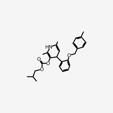 CC1=CC(c2ccccc2OCc2ccc(C)cc2)C(OC(=O)OCC(C)C)=C(C)N1